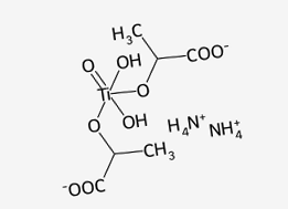 CC([O][Ti](=[O])([OH])([OH])[O]C(C)C(=O)[O-])C(=O)[O-].[NH4+].[NH4+]